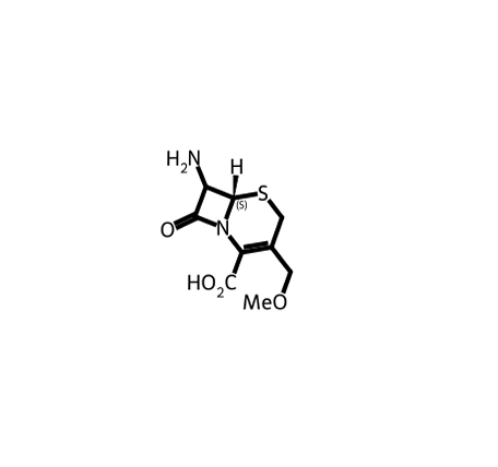 COCC1=C(C(=O)O)N2C(=O)C(N)[C@@H]2SC1